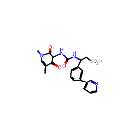 CC1=CN(C)C(=O)C(NC(=O)NC(CC(=O)O)c2cccc(-c3cccnc3)c2)C1=O